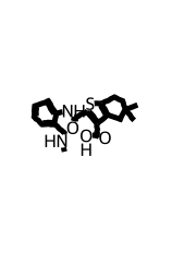 CNCc1ccccc1NC(=O)c1sc2c(c1C(=O)O)CC(C)(C)CC2